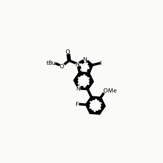 COc1cccc(F)c1-c1cc2c(I)nn(C(=O)OC(C)(C)C)c2cn1